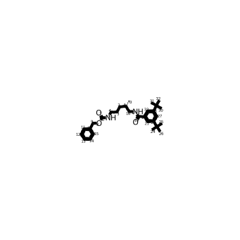 C[C@@H](CCCNC(=O)OCc1ccccc1)CNC(=O)c1cc(C(C)(C)C)cc(C(C)(C)C)c1